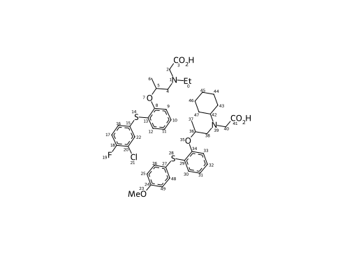 CCN(CC(=O)O)CC(C)Oc1ccccc1Sc1ccc(F)c(Cl)c1.COc1ccc(Sc2ccccc2OC(C)CN(CC(=O)O)C2CCCCC2)cc1